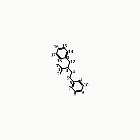 C[C](C)C(CCc1ccccc1)Cc1ccccc1